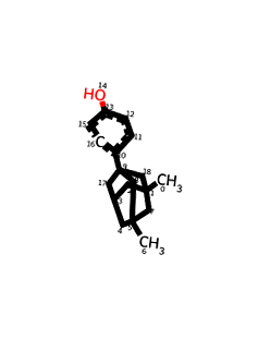 CC12CC3CC(C)(C1)CC(c1ccc(O)cc1)(C3)C2